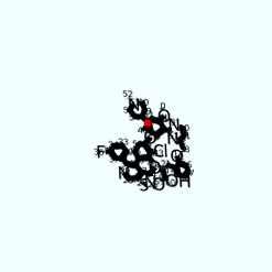 COc1ccccc1-c1nccc(COc2ccccc2C[C@@H](Oc2nsc3cnc(-c4cccc(F)c4)c(C4=C(C)C(Cl)=C(OCCC5CCN(C)CC5)CC4)c23)C(=O)O)n1